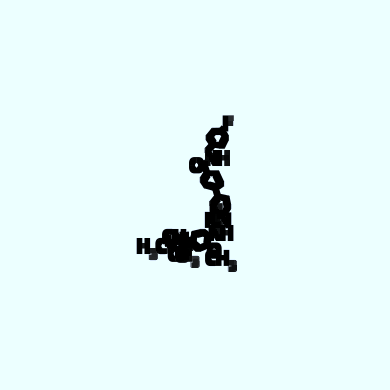 COc1cc(C(=O)NC(C)(C)C)ccc1Nc1nc2ccc(-c3ccc(C(=O)NCc4ccc(F)cc4)cc3)cn2n1